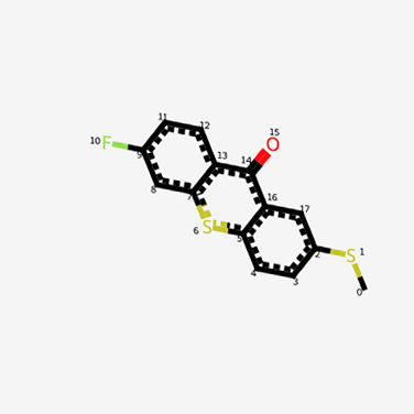 CSc1ccc2sc3cc(F)ccc3c(=O)c2c1